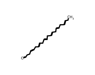 CCC=CCC=CCC=CCC=CCC=CCC=CCC[C]=O